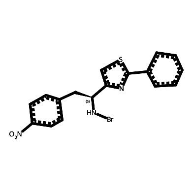 O=[N+]([O-])c1ccc(C[C@H](NBr)c2csc(-c3ccccc3)n2)cc1